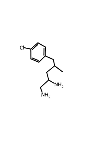 CC(Cc1ccc(Cl)cc1)CC(N)CN